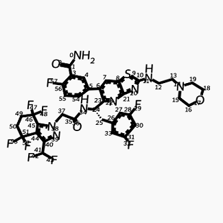 NC(=O)c1cc(-c2cc3sc(NCCN4CCOCC4)nc3nc2[C@H](Cc2cc(F)cc(F)c2)NC(=O)Cn2nc(C(F)F)c3c2C(F)(F)CCC3(F)F)ccc1F